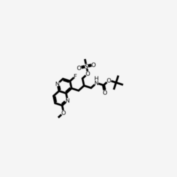 COc1ccc2ncc(F)c(CC(CNC(=O)OC(C)(C)C)COS(C)(=O)=O)c2n1